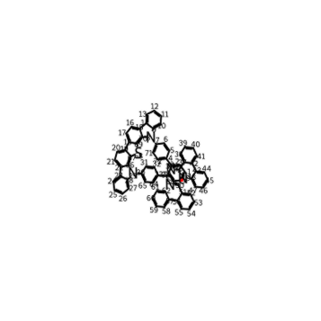 c1ccc(-c2ccc(-n3c4ccccc4c4ccc5c6ccc7c8ccccc8n(-c8ccc(-c9nc(-c%10ccccc%10-c%10ccccc%10)nc(-c%10ccccc%10-c%10ccccc%10)n9)cc8)c7c6sc5c43)cc2)cc1